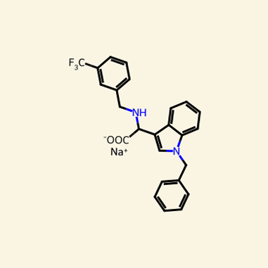 O=C([O-])C(NCc1cccc(C(F)(F)F)c1)c1cn(Cc2ccccc2)c2ccccc12.[Na+]